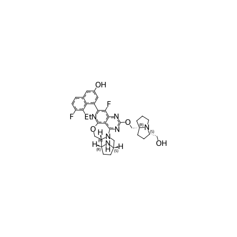 CCc1c(F)ccc2cc(O)cc(-c3nc4c5c(nc(OC[C@]67CCCN6[C@H](CO)CC7)nc5c3F)N3C[C@@H]5CC[C@@H](N5)[C@@H]3CO4)c12